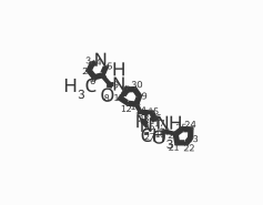 Cc1ccncc1C(=O)Nc1ccc(-c2cc(NC(=O)c3ccccc3)n(C)n2)cc1